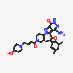 CC1=Cc2c(oc(-c3c4c(N)n[nH]c(=O)c4nn3C3CCN(C(=O)/C=C/CN4CCC(O)CC4)CC3)c2C)C(C)C1